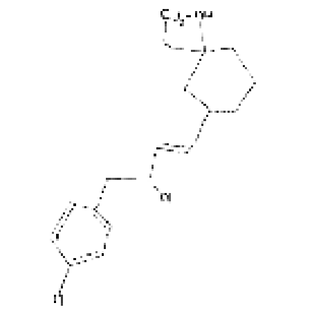 O=C(O)CC1(O)CCCC(C=CC(O)Cc2ccc(Cl)cc2)C1